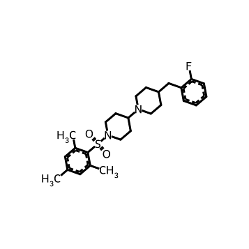 Cc1cc(C)c(S(=O)(=O)N2CCC(N3CCC(Cc4ccccc4F)CC3)CC2)c(C)c1